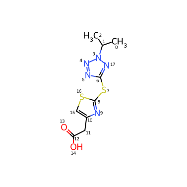 CC(C)n1nnc(Sc2nc(CC(=O)O)cs2)n1